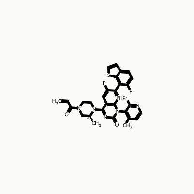 C=CC(=O)N1CCN(c2nc(=O)n(-c3c(C)ccnc3C(C)C)c3nc(-c4c(F)ccc5ccsc45)c(F)cc23)[C@@H](C)C1